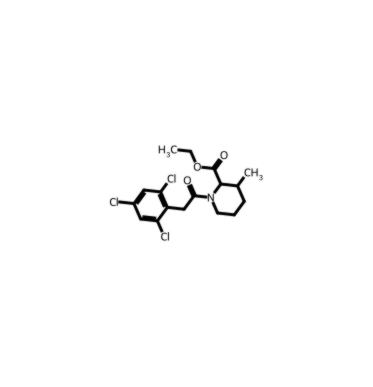 CCOC(=O)C1C(C)CCCN1C(=O)Cc1c(Cl)cc(Cl)cc1Cl